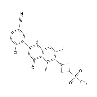 CS(=O)(=O)C1CN(c2c(F)cc3[nH]c(-c4cc(C#N)ccc4Cl)cc(=O)c3c2F)C1